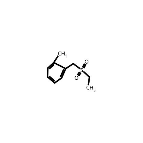 CCS(=O)(=O)Cc1ccccc1C